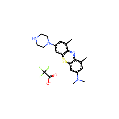 Cc1cc(N(C)C)cc2[s+]c3cc(N4CCNCC4)cc(C)c3nc12.O=C([O-])C(F)(F)F